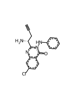 C#CC[C@@H](N)c1nc2cc(Cl)ccc2c(=O)n1Nc1ccccc1